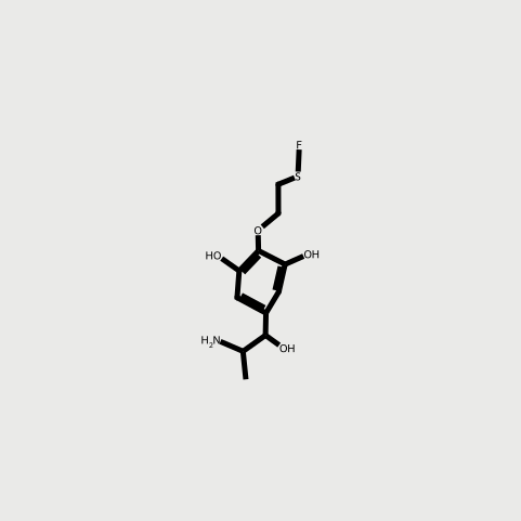 CC(N)C(O)c1cc(O)c(OCCSF)c(O)c1